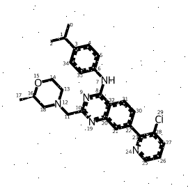 CC(C)c1ccc(Nc2nc(CN3CCO[C@H](C)C3)nc3cc(-c4ncccc4Cl)ccc23)cc1